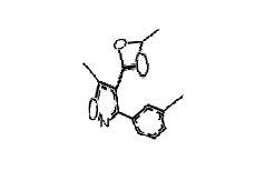 Cc1cccc(-c2noc(C)c2C2OC(C)O2)c1